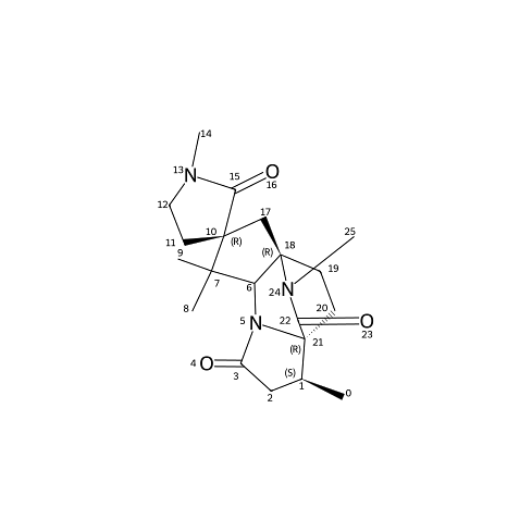 C[C@H]1CC(=O)N2C3C(C)(C)[C@@]4(CCN(C)C4=O)C[C@]34CC[C@]12C(=O)N4C